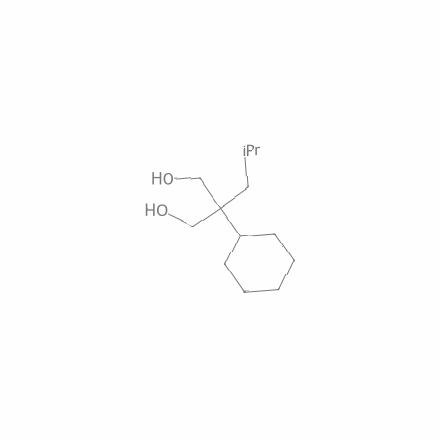 CC(C)CC(CO)(CO)C1CCCCC1